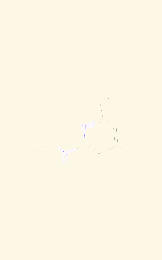 COc1cc(C)cc(NPC)n1